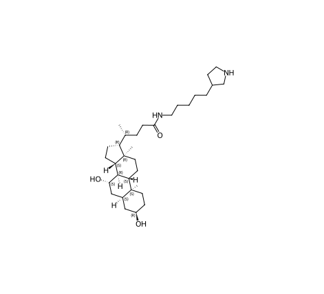 C[C@H](CCC(=O)NCCCCCC1CCNC1)[C@H]1CC[C@H]2[C@@H]3[C@@H](O)C[C@@H]4C[C@H](O)CC[C@]4(C)[C@H]3CC[C@]12C